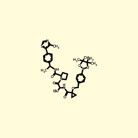 Cc1ncsc1-c1ccc(C(C)NC(=O)C2CCCN2C(=O)C(NC(=O)C2(OCc3ccc(B4OC(C)(C)C(C)(C)O4)cc3)CC2)C(C)(C)C)cc1